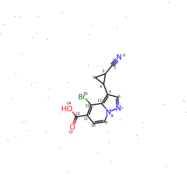 N#CC1CC1c1cnn2ccc(C(=O)O)c(Br)c12